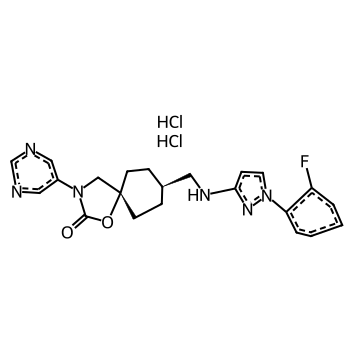 Cl.Cl.O=C1O[C@]2(CC[C@H](CNc3ccn(-c4ccccc4F)n3)CC2)CN1c1cncnc1